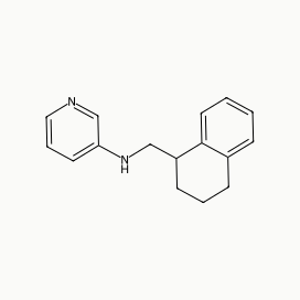 c1cncc(NCC2CCCc3ccccc32)c1